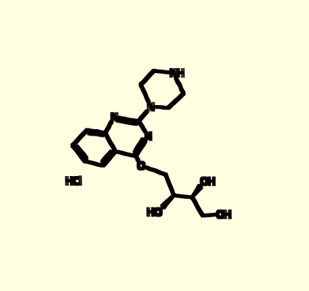 Cl.OC[C@H](O)[C@@H](O)COc1nc(N2CCNCC2)nc2ccccc12